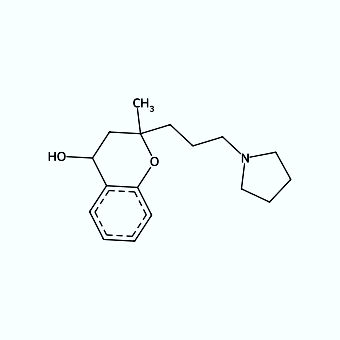 CC1(CCCN2CCCC2)CC(O)c2ccccc2O1